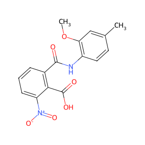 COc1cc(C)ccc1NC(=O)c1cccc([N+](=O)[O-])c1C(=O)O